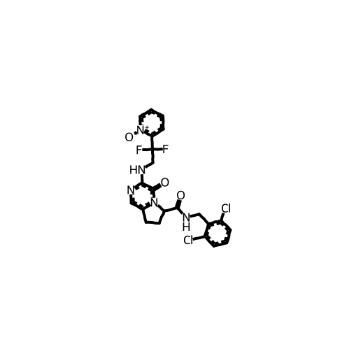 O=C(NCc1c(Cl)cccc1Cl)C1CCc2cnc(NCC(F)(F)c3cccc[n+]3[O-])c(=O)n21